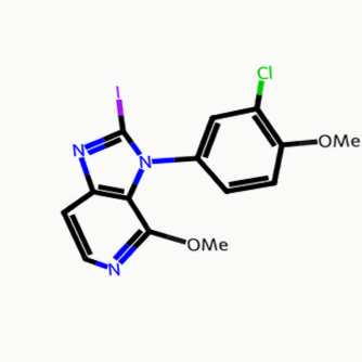 COc1ccc(-n2c(I)nc3ccnc(OC)c32)cc1Cl